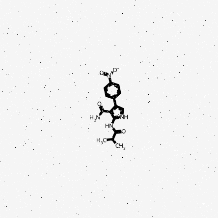 CC(C)C(=O)Nc1[nH]cc(-c2ccc([N+](=O)[O-])cc2)c1C(N)=O